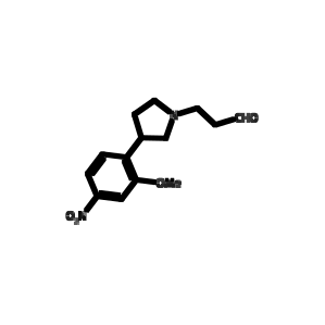 COc1cc([N+](=O)[O-])ccc1C1CCN(CCC=O)C1